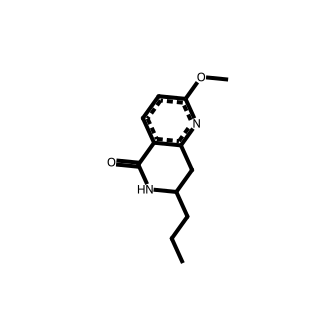 CCCC1Cc2nc(OC)ccc2C(=O)N1